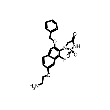 NCCOc1ccc2cc(OCc3ccccc3)c(N3CC(=O)NS3(=O)=O)c(F)c2c1